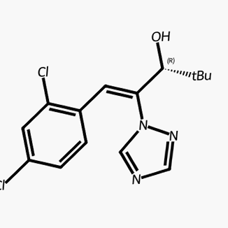 CC(C)(C)[C@@H](O)C(=Cc1ccc(Cl)cc1Cl)n1cncn1